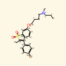 CCCN(C)CCCCOc1ccc2c(c1)S(=O)(=O)C(C)=C2c1ccc(Br)cc1